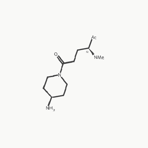 CN[C@@H](CCC(=O)N1CCC(N)CC1)C(C)=O